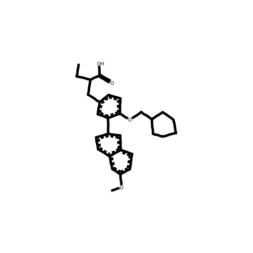 CCC(Cc1ccc(OCC2CCCCC2)c(-c2ccc3cc(OC)ccc3c2)c1)C(=O)O